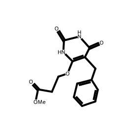 COC(=O)CCOc1[nH]c(=O)[nH]c(=O)c1Cc1ccccc1